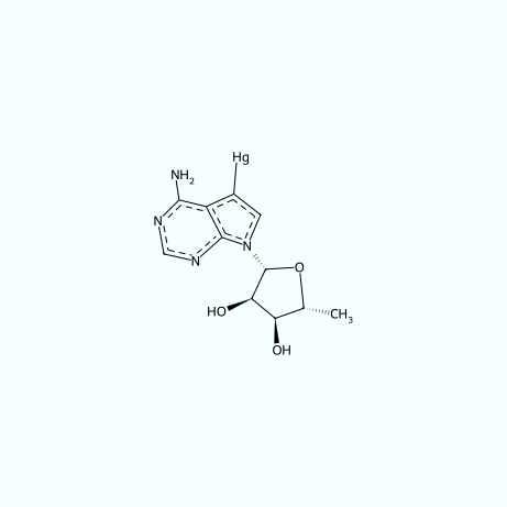 C[C@H]1O[C@@H](n2c[c]([Hg])c3c(N)ncnc32)[C@H](O)[C@@H]1O